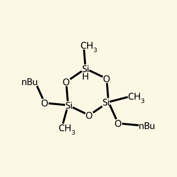 CCCCO[Si]1(C)O[SiH](C)O[Si](C)(OCCCC)O1